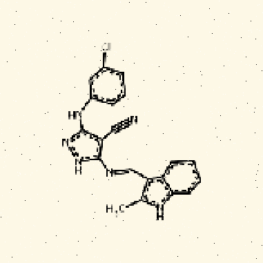 Cc1[nH]c2ccccc2c1/C=N/c1[nH]nc(Nc2cccc(Cl)c2)c1C#N